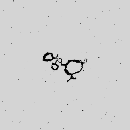 CC(C)C1/C=C\C(CO[Si](C)(c2ccccc2)c2ccccc2)C/C=C\C(=O)CC1